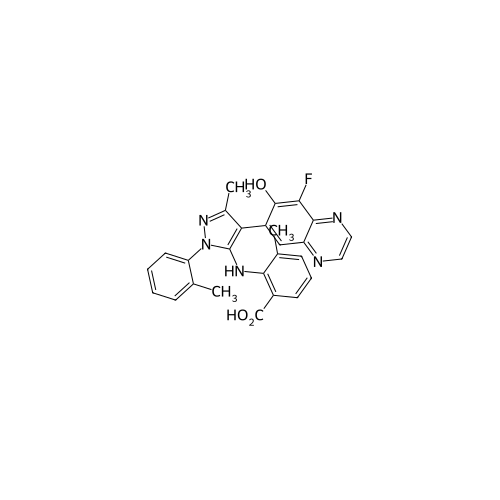 Cc1ccccc1-n1nc(C)c(-c2cc3nccnc3c(F)c2O)c1Nc1c(C)cccc1C(=O)O